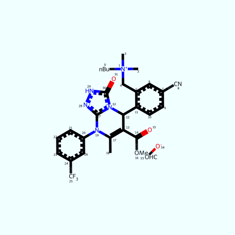 CCCC[N+](C)(C)Cc1cc(C#N)ccc1C1C(C(=O)OC)=C(C)N(c2cccc(C(F)(F)F)c2)c2n[nH]c(=O)n21.O=C[O-]